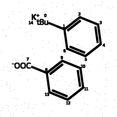 CC(C)(C)c1ccccc1.O=C([O-])c1ccccc1.[K+]